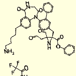 NCCCCCc1ccc2c(c1)C(=O)NCC(=O)N2c1ccc(C[C@@]2(C(=O)Oc3ccccc3)NC2(C=O)CC=O)cc1-c1ccccc1.O=C(O)C(F)(F)F